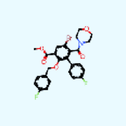 COC(=O)c1cc(Br)c(C(=O)N2CCOCC2)c(-c2ccc(F)cc2)c1OCc1ccc(F)cc1